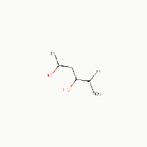 CCCCC(CC)C(O)CC(O)CC